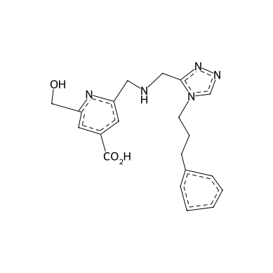 O=C(O)c1cc(CO)nc(CNCc2nncn2CCCc2ccccc2)c1